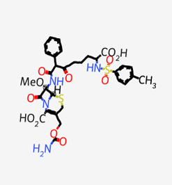 CO[C@@]1(NC(=O)C(C(=O)CCCC(NS(=O)(=O)c2ccc(C)cc2)C(=O)O)c2ccccc2)C(=O)N2C(C(=O)O)=C(COC(N)=O)CS[C@H]21